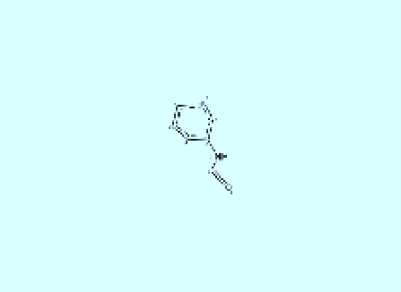 O=[C]Nc1cccnc1